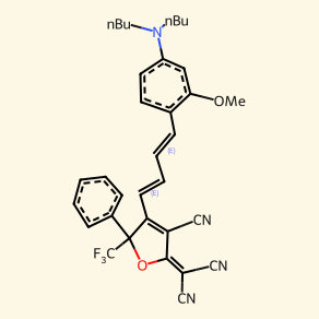 CCCCN(CCCC)c1ccc(/C=C/C=C/C2=C(C#N)C(=C(C#N)C#N)OC2(c2ccccc2)C(F)(F)F)c(OC)c1